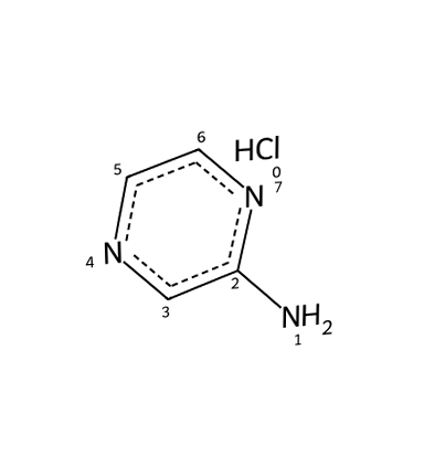 Cl.Nc1cnccn1